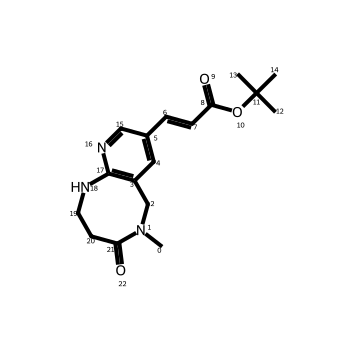 CN1Cc2cc(C=CC(=O)OC(C)(C)C)cnc2NCCC1=O